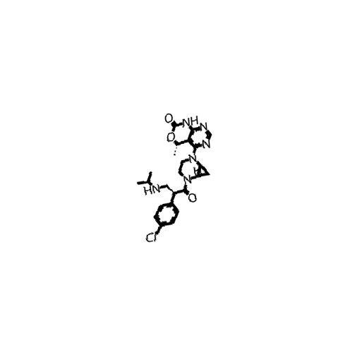 CC(C)NC[C@@H](C(=O)N1CCN(c2ncnc3c2[C@H](C)OC(=O)N3)[C@@H]2CC21)c1ccc(Cl)cc1